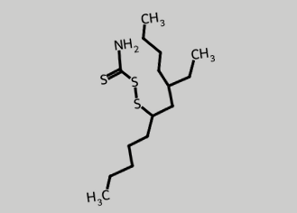 CCCCCC(CC(CC)CCCC)SSC(N)=S